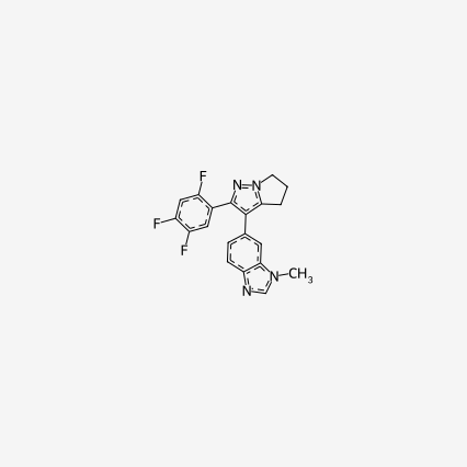 Cn1cnc2ccc(-c3c(-c4cc(F)c(F)cc4F)nn4c3CCC4)cc21